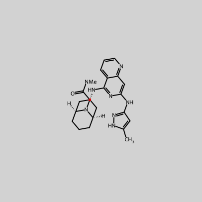 CNC(=O)CN1[C@@H]2CCC[C@H]1C[C@H](Nc1nc(Nc3cc(C)[nH]n3)cc3ncccc13)C2